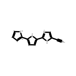 N#Cc1cnc(-c2ccc(-c3cccs3)s2)s1